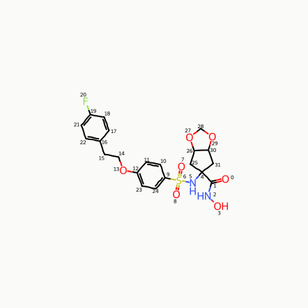 O=C(NO)C1(NS(=O)(=O)c2ccc(OCCc3ccc(F)cc3)cc2)CC2OCOC2C1